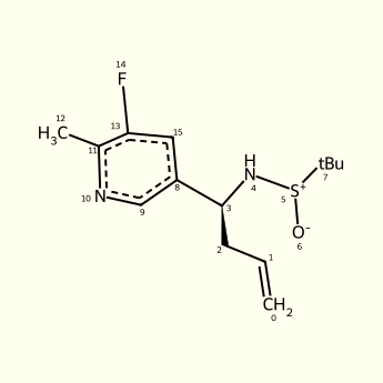 C=CC[C@H](N[S+]([O-])C(C)(C)C)c1cnc(C)c(F)c1